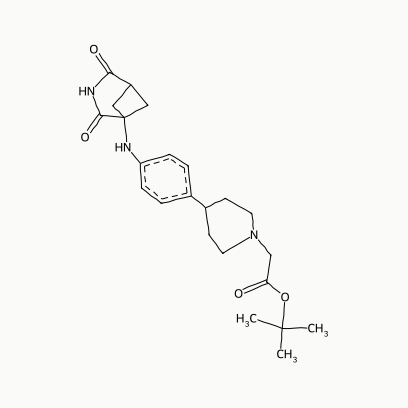 CC(C)(C)OC(=O)CN1CCC(c2ccc(NC34CC(C3)C(=O)NC4=O)cc2)CC1